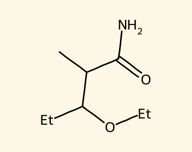 CCOC(CC)C(C)C(N)=O